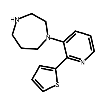 c1csc(-c2ncccc2N2CCCNCC2)c1